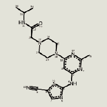 Cc1nc(Nc2ncc(C#N)s2)cc(N2CCN(CC(=O)NC(C)C)CC2)n1